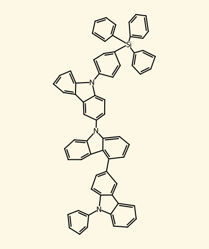 c1ccc(-n2c3ccccc3c3cc(-c4cccc5c4c4ccccc4n5-c4ccc5c(c4)c4ccccc4n5-c4ccc([Si](c5ccccc5)(c5ccccc5)c5ccccc5)cc4)ccc32)cc1